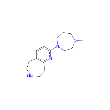 CN1CCCN(c2ccc3c(n2)CCNCC3)CC1